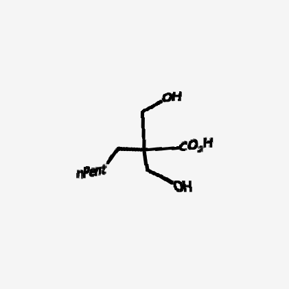 CCCCCCC(CO)(CO)C(=O)O